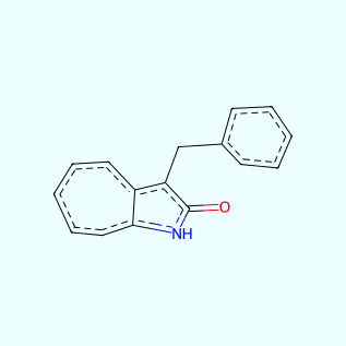 O=c1[nH]c2cccccc-2c1Cc1ccccc1